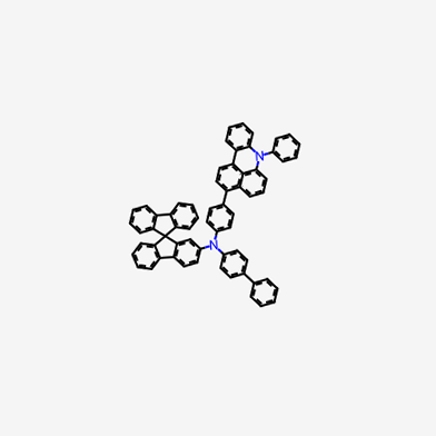 c1ccc(-c2ccc(N(c3ccc(-c4ccc5c6c(cccc46)N(c4ccccc4)c4ccccc4-5)cc3)c3ccc4c(c3)C3(c5ccccc5-c5ccccc53)c3ccccc3-4)cc2)cc1